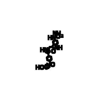 NC(=O)Nc1ccc2c(c1)/C(=C/c1cc(-c3ccc(C(=O)N4CCC(O)C4)cc3)c[nH]1)C(=O)N2